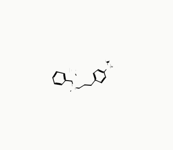 CN(CCCc1ccc([N+](=O)[O-])cc1)[C@@H](CO)c1ccccc1